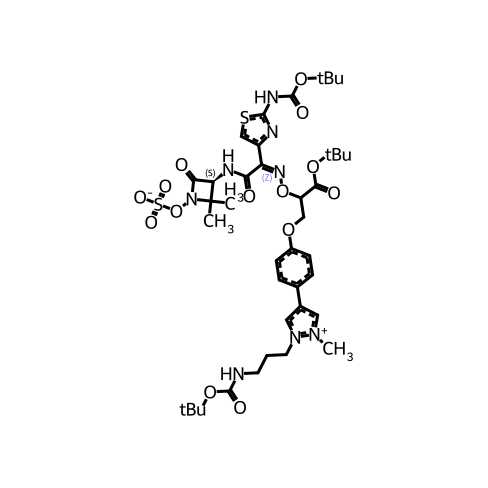 C[n+]1cc(-c2ccc(OCC(O/N=C(\C(=O)N[C@@H]3C(=O)N(OS(=O)(=O)[O-])C3(C)C)c3csc(NC(=O)OC(C)(C)C)n3)C(=O)OC(C)(C)C)cc2)cn1CCCNC(=O)OC(C)(C)C